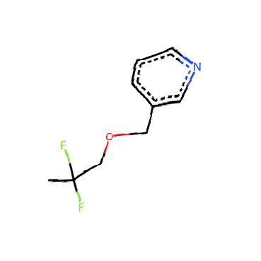 CC(F)(F)COCc1cccnc1